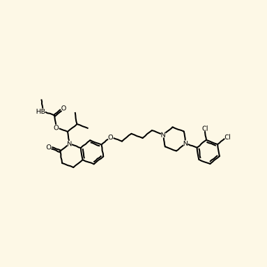 CBC(=O)OC(C(C)C)N1C(=O)CCc2ccc(OCCCCN3CCN(c4cccc(Cl)c4Cl)CC3)cc21